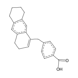 O=C(O)c1ccc(CC2=CCCc3cc4c(cc32)CCCC4)cc1